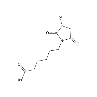 CC(C)C(=O)CCCCCN1C(=O)CC(S)C1=O